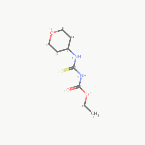 CCOC(=O)NC(=S)NC1CCOCC1